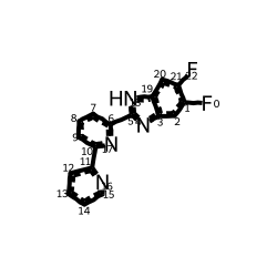 Fc1cc2nc(-c3cccc(-c4ccccn4)n3)[nH]c2cc1F